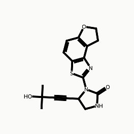 CC(C)(O)C#CC1CNC(=O)N1c1nc2c3c(ccc2s1)OCC3